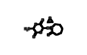 C1CO1.CC1OC(=O)C(C)OC1=O.O=C1CCCCCO1